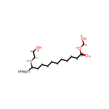 CCCCCCCC(CCCCCCCCCC(=O)OCO)SCCO